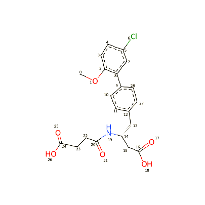 COc1ccc(Cl)cc1-c1ccc(C[C@H](CC(=O)O)NC(=O)CCC(=O)O)cc1